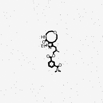 CCn1nc(C[C@@H](C)COC(=O)c2cccc(C(=O)N(C)C)c2)c2c1C(=O)NCCCOCCC2